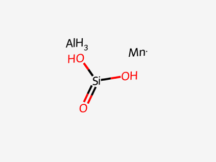 O=[Si](O)O.[AlH3].[Mn]